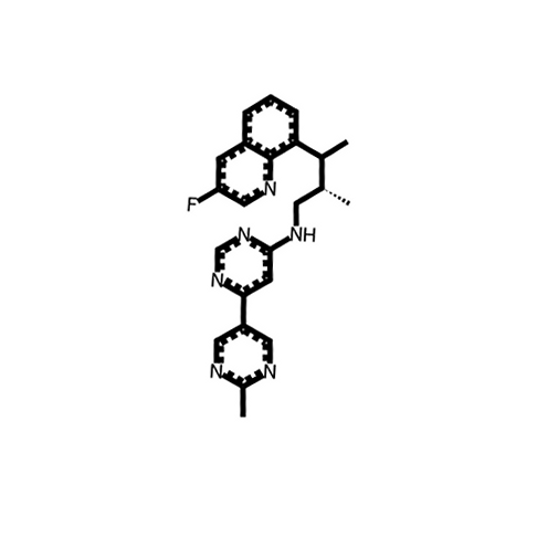 Cc1ncc(-c2cc(NC[C@@H](C)C(C)c3cccc4cc(F)cnc34)ncn2)cn1